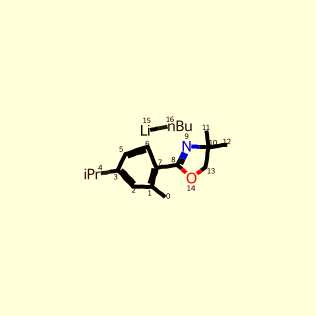 Cc1cc(C(C)C)ccc1C1=NC(C)(C)CO1.[Li][CH2]CCC